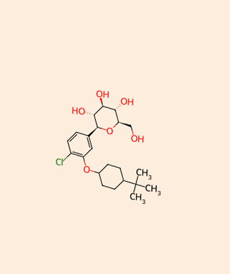 CC(C)(C)C1CCC(Oc2cc([C@@H]3O[C@H](CO)[C@@H](O)[C@H](O)[C@H]3O)ccc2Cl)CC1